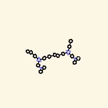 C1=Cc2c(n(-c3ccc(-c4nc(-c5ccc(-c6ccccc6)cc5)nc(-c5ccc(-c6ccc7cc(-c8ccc(-c9ccc(-c%10nc(-c%11ccc(-c%12ccc%13ccccc%13c%12)cc%11)nc(-c%11cccc(-n%12c%13ccccc%13c%13ccccc%13%12)c%11)n%10)cc9)cc8)ccc7c6)cc5)n4)cc3)c3ccccc23)CC1